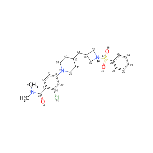 CN(C)C(=O)c1ccc(N2CCC(CC3CN(S(=O)(=O)c4ccccc4)C3)CC2)cc1Cl